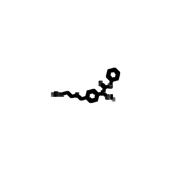 CCCCCCCCCCCCSCc1ccc(N(C)C(=S)Oc2ccccc2)cc1